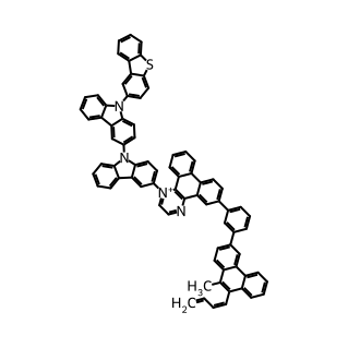 C=C/C=C\c1c(C)c2ccc(-c3cccc(-c4ccc5c6ccccc6c6c(ncc[n+]6-c6ccc7c(c6)c6ccccc6n7-c6ccc7c(c6)c6ccccc6n7-c6ccc7sc8ccccc8c7c6)c5c4)c3)cc2c2ccccc12